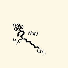 CCCCCCCCC(C)c1ccc(S(=O)(=O)O)cc1.[NaH]